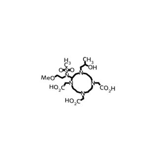 COCCN(C1CN(CC(C)O)CCN(CC(=O)O)CCN(CC(=O)O)CCN1CC(=O)O)S(C)(=O)=O